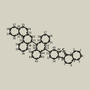 c1ccc2c(c1)ccc1c3ccc(-c4c5ccccc5c(-c5cc6ccc7ccccc7c6c6ccccc56)c5ccccc45)cc3sc21